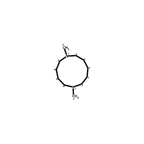 CN1CCCCCN(C)CCCC1